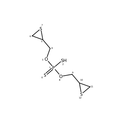 S=P(S)(OCC1CS1)OCC1CS1